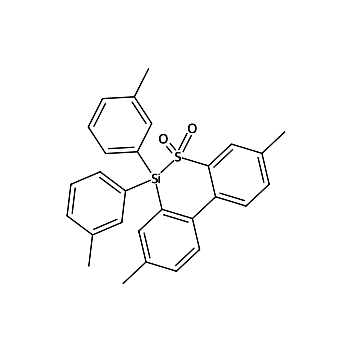 Cc1cccc([Si]2(c3cccc(C)c3)c3cc(C)ccc3-c3ccc(C)cc3S2(=O)=O)c1